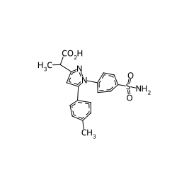 Cc1ccc(-c2cc(C(C)C(=O)O)nn2-c2ccc(S(N)(=O)=O)cc2)cc1